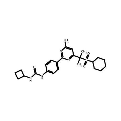 CC(C)(c1cc(N)nc(-c2ccc(NC(=O)NC3CCC3)cc2)n1)S(=O)(=O)C1CCCCC1